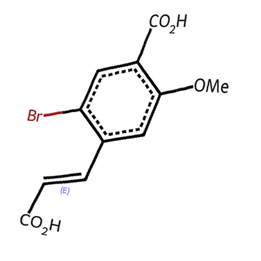 COc1cc(/C=C/C(=O)O)c(Br)cc1C(=O)O